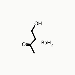 CC(=O)CCO.[BaH2]